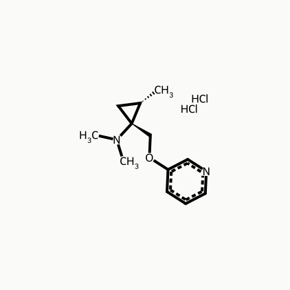 C[C@H]1C[C@@]1(COc1cccnc1)N(C)C.Cl.Cl